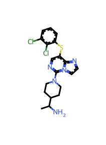 CC(N)C1CCN(c2ncc(Sc3cccc(Cl)c3Cl)c3nccn23)CC1